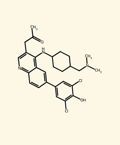 CC(=O)Cc1cnc2ccc(-c3cc(Cl)c(O)c(Cl)c3)cc2c1NC1CCC(CN(C)C)CC1